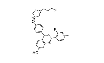 Cc1ccc(C2C=C(c3ccc(O[C@H]4CCN(CCCF)C4)cc3)c3ccc(O)cc3S2)c(F)c1